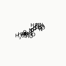 CNS(=O)(=O)N1CC(N(C(=O)O)c2cc3cc(-c4cnc5c(c4C)NCCO5)c(F)cc3cn2)C1